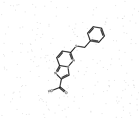 O=C(O)c1cn2nc(SCc3ccccc3)ccc2n1